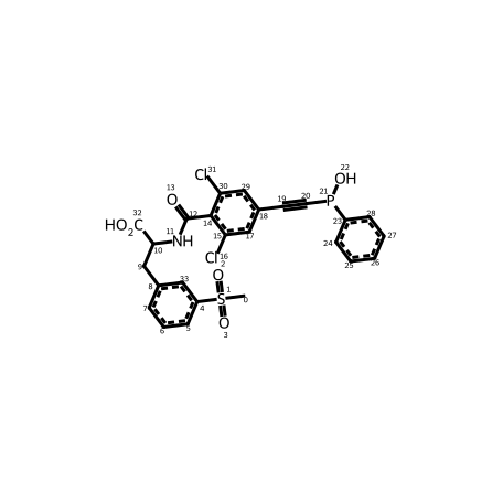 CS(=O)(=O)c1cccc(CC(NC(=O)c2c(Cl)cc(C#CP(O)c3ccccc3)cc2Cl)C(=O)O)c1